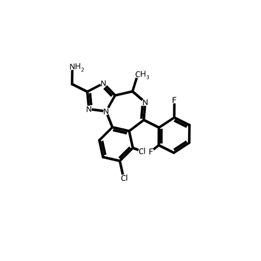 CC1N=C(c2c(F)cccc2F)c2c(ccc(Cl)c2Cl)-n2nc(CN)nc21